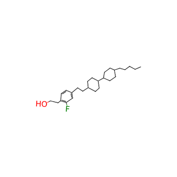 CCCCCC1CCC(C2CCC(CCc3ccc(CCO)c(F)c3)CC2)CC1